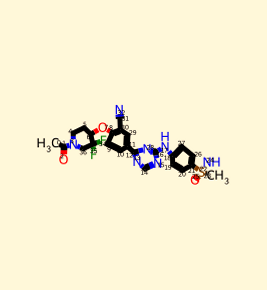 CC(=O)N1CCC(Oc2ccc(-c3ncnc(Nc4ccc(S(C)(=N)=O)cc4)n3)cc2C#N)C(F)(F)C1